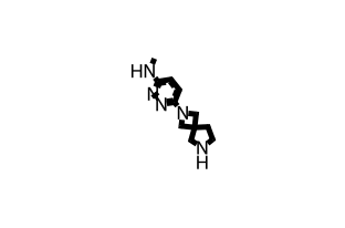 CNc1ccc(N2CC3(CCNC3)C2)nn1